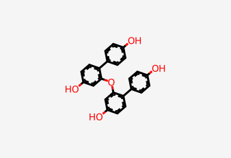 Oc1ccc(-c2ccc(O)cc2Oc2cc(O)ccc2-c2ccc(O)cc2)cc1